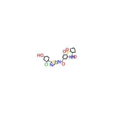 O=C(NCc1cnc(-c2ccc(O)cc2Cl)s1)c1ccc2c(c1)NC(=O)c1ccccc1S2(=O)=O